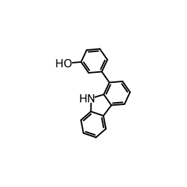 Oc1cccc(-c2cccc3c2[nH]c2ccccc23)c1